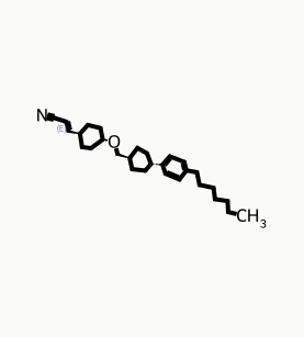 CCCCCCCc1ccc([C@H]2CC[C@H](CO[C@H]3CC[C@H](/C=C/C#N)CC3)CC2)cc1